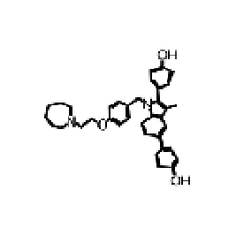 Cc1c(-c2ccc(O)cc2)n(Cc2ccc(OCCN3CCCCCC3)cc2)c2ccc(-c3ccc(O)cc3)cc12